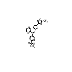 CS(=O)(=O)c1ncc(N(Cc2ccc(-c3noc(C(F)(F)F)n3)s2)c2cnccn2)cn1